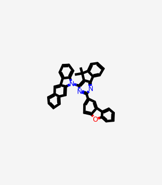 CC1(C)c2ccccc2-c2nc(-c3ccc4oc5ccccc5c4c3)nc(-n3c4ccccc4c4cc5ccccc5cc43)c21